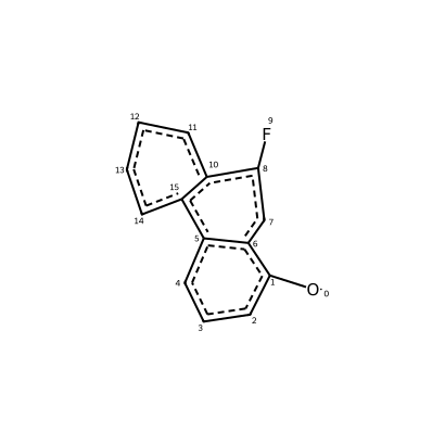 [O]c1cccc2c1cc(F)c1ccccc12